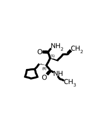 C=CCC[C@H](C(N)=O)[C@@H](CC1CCCC1)C(=O)NCC